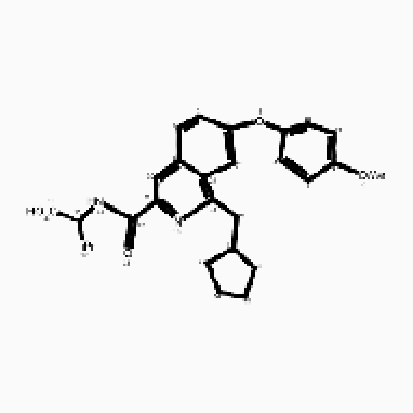 COc1ccc(Oc2ccc3cc(C(=O)N[C@H](C(=O)O)C(C)C)nc(CC4CCCC4)c3c2)cc1